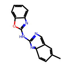 Cc1ccc2nc(Nc3nc4ccccc4o3)ncc2c1